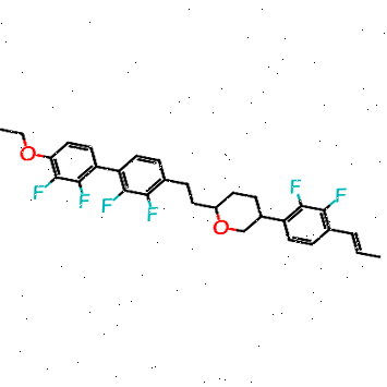 C/C=C/c1ccc(C2CCC(CCc3ccc(-c4ccc(OCC)c(F)c4F)c(F)c3F)OC2)c(F)c1F